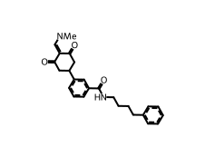 CNC=C1C(=O)CC(c2cccc(C(=O)NCCCCc3ccccc3)c2)CC1=O